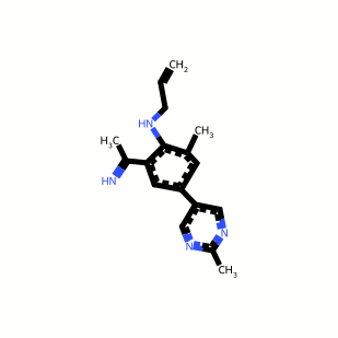 C=CCNc1c(C)cc(-c2cnc(C)nc2)cc1C(C)=N